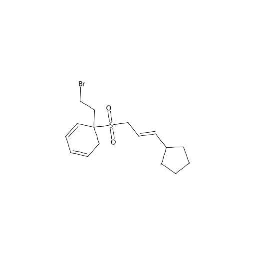 O=S(=O)(CC=CC1CCCC1)C1(CCBr)C=CC=CC1